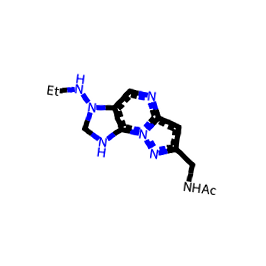 CCNN1CNc2c1cnc1cc(CNC(C)=O)nn21